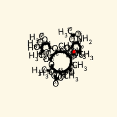 CC[C@H]1OC(=O)[C@H](C)[C@@H](O[C@H]2C[C@@](C)(OC)[C@@H](O)[C@H](C)O2)[C@H](C)[C@@H](O[C@@H]2O[C@H](C)C[C@H](N)[C@H]2OC(C)=O)[C@@](C)(OC)C[C@@H](C)C(=O)[C@H](C)[C@H]2OC(=O)O[C@@]21C